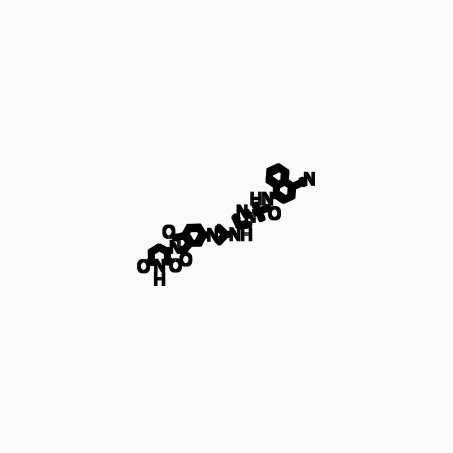 CC(C)(C(=O)Nc1ccc(C#N)c2ccccc12)n1cc(NC2CN(c3ccc4c(c3)C(=O)N(C3CCC(=O)NC3=O)C4=O)C2)cn1